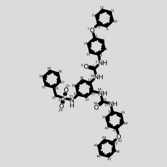 O=C(Nc1ccc(Oc2ccccc2)cc1)Nc1ccc(NS(=O)(=O)Cc2ccccc2)cc1NC(=O)Nc1ccc(Oc2ccccc2)cc1